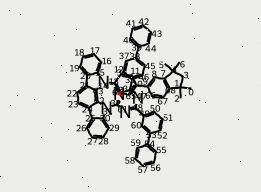 CC1(C)CC(C)(C)c2cc(-c3ccc(-n4c5ccccc5c5ccc6c7ccccc7n(-c7nc(-c8ccc(-c9ccccc9)cc8)nc(-c8cccc(-c9ccccc9)c8)n7)c6c54)cc3)ccc21